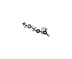 CC(O)c1cc(C#N)cc2nc(-c3ccc(NC(=O)COC4CCN(C(=O)OC(C)(C)C)CC4)cc3)oc12